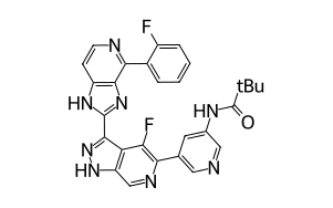 CC(C)(C)C(=O)Nc1cncc(-c2ncc3[nH]nc(-c4nc5c(-c6ccccc6F)nccc5[nH]4)c3c2F)c1